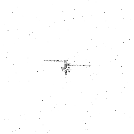 CCCCCCCCCCCCCCCC[N+](C)(C)CC[N+](C)(C)CCCCCCCCCCCCCCCC.O=C([O-])C(O)C(O)C(=O)[O-]